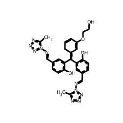 Cc1nnnn1N=Cc1ccc(O)c(C(=C2C=C(OCCO)C=CC2)c2cc(C=Nn3nnnc3C)ccc2O)c1